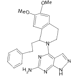 COc1cc2c(cc1OC)C(CCc1ccccc1)N(c1nc(N)nc3[nH]ncc13)CC2